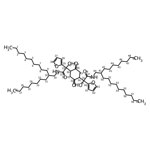 CCCCCCCCCCC(CCCCCCCC)CNC(=O)C(O)(c1ccco1)C1CC(=O)C(C(O)(C(=O)NCC(CCCCCCCC)CCCCCCCCCC)c2ccco2)CC1=O